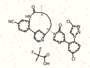 C[C@@H]1CCC[C@H](n2cnc(-c3cc(Cl)ccc3-n3cc(Cl)nn3)cc2=O)c2cc(ccn2)-c2ccc(C#N)cc2NC1=O.O=C(O)C(F)(F)F